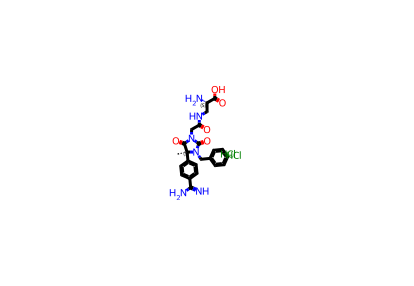 C[C@]1(c2ccc(C(=N)N)cc2)C(=O)N(CC(=O)NC[C@H](N)C(=O)O)C(=O)N1Cc1ccccc1.Cl.Cl